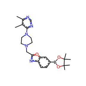 Cc1ncnc(N2CCN(Cc3nc4ccc(B5OC(C)(C)C(C)(C)O5)cc4o3)CC2)c1C